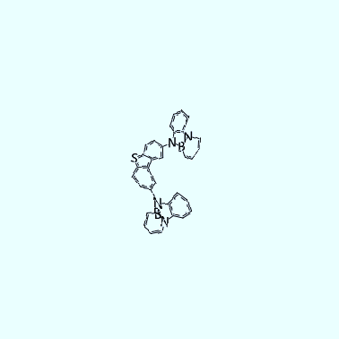 C1=CB2N(C=C1)c1ccccc1N2c1ccc2sc3ccc(N4B5C=CC=CN5c5ccccc54)cc3c2c1